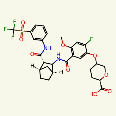 COc1cc(F)c(O[C@@H]2CC[C@H](C(=O)O)OC2)cc1C(=O)NC1[C@H]2CC[C@H](C2)[C@@H]1C(=O)Nc1cccc(S(=O)(=O)C(F)(F)F)c1